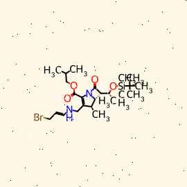 CC(C)COC(=O)C1=C(CN/C=C/CBr)[C@H](C)C2[C@@H]([C@@H](C)O[Si](C)(C)C(C)(C)C)C(=O)N12